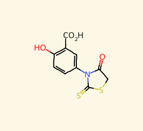 O=C(O)c1cc(N2C(=O)CSC2=S)ccc1O